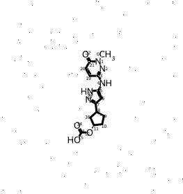 Cn1nc(Nc2cc(C3CC[C@H](OC(=O)O)C3)n[nH]2)ccc1=O